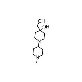 CN1CCC(N2CCC(O)(CO)CC2)CC1